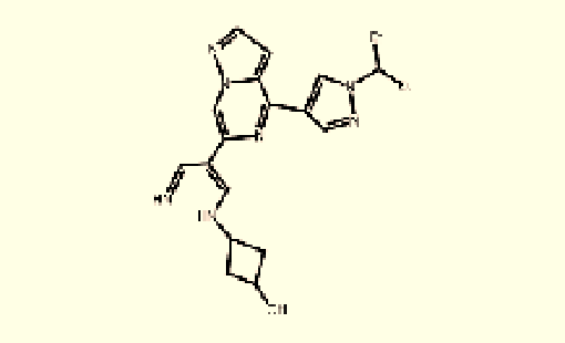 CCC(CC)n1cc(-c2nc(/C(C=N)=C/NC3CC(O)C3)cn3nccc23)cn1